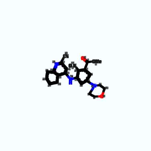 COC(=O)c1cc(N2CCOCC2)cc(Nc2cc(C#N)nc3ccccc23)c1[N+](=O)[O-]